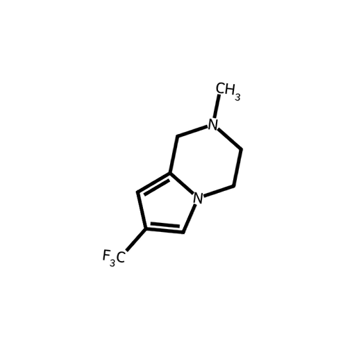 CN1CCn2cc(C(F)(F)F)cc2C1